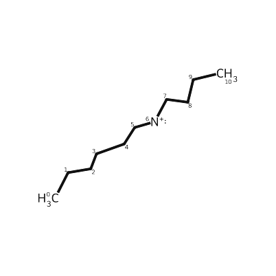 CCCCCC[N+]CCCC